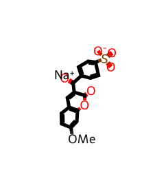 COc1ccc2cc(C(=O)c3ccc(S(=O)(=O)[O-])cc3)c(=O)oc2c1.[Na+]